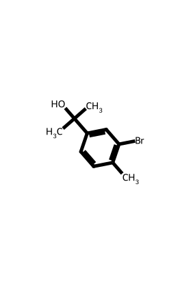 Cc1ccc(C(C)(C)O)cc1Br